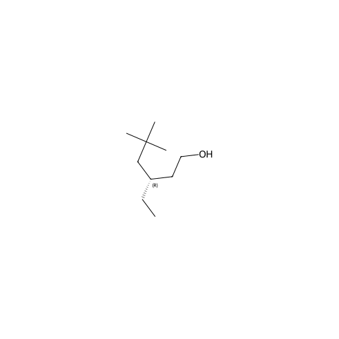 CC[C@@H](CCO)CC(C)(C)C